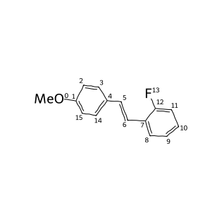 COc1ccc(/C=C/c2ccccc2F)cc1